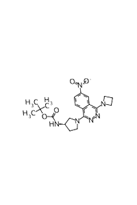 CC(C)(C)OC(=O)N[C@@H]1CCN(c2nnc(N3CCC3)c3cc([N+](=O)[O-])ccc23)C1